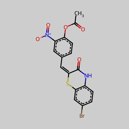 CC(=O)Oc1ccc(/C=C2/Sc3cc(Br)ccc3NC2=O)cc1[N+](=O)[O-]